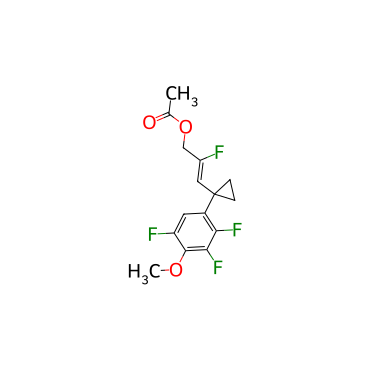 COc1c(F)cc(C2(C=C(F)COC(C)=O)CC2)c(F)c1F